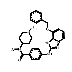 CN1CCC(N(C)C(=O)c2ccc(NC3=NN4C=CC=C(OCc5ccccc5)C4N3)cc2)CC1